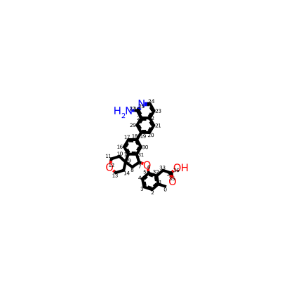 Cc1cccc(OC2CC3(CCOCC3)c3ccc(-c4ccc5ccnc(N)c5c4)cc32)c1CC(=O)O